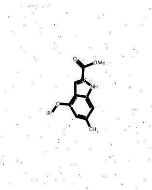 COC(=O)c1cc2c(OC(C)C)cc(C)cc2[nH]1